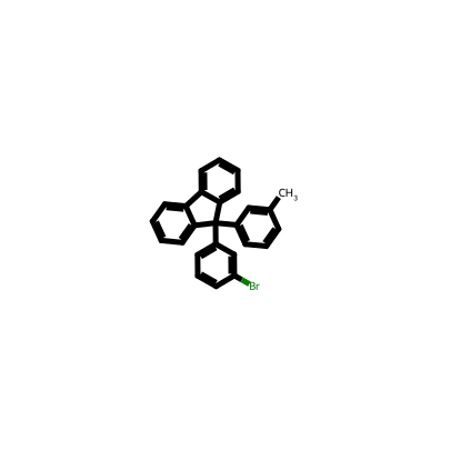 Cc1cccc(C2(c3cccc(Br)c3)c3ccccc3-c3ccccc32)c1